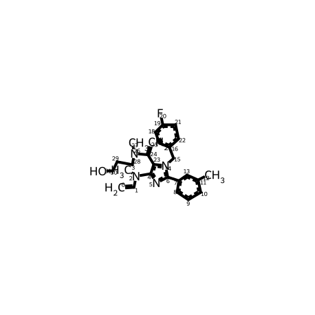 C=CN(C)c1nc(-c2cccc(C)c2)n(Cc2ccc(F)cc2)c1C(=C)N(C)CCCO